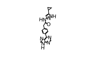 O=C(Cc1ccc(-c2ncnc3[nH]cnc23)cc1)Nc1cc(C2CC2)[nH]n1